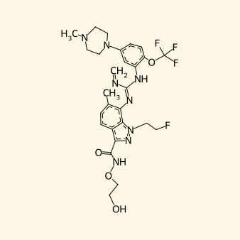 C=N/C(=N\c1c(C)ccc2c(C(=O)NOCCO)nn(CCF)c12)Nc1cc(N2CCN(C)CC2)ccc1OC(F)(F)F